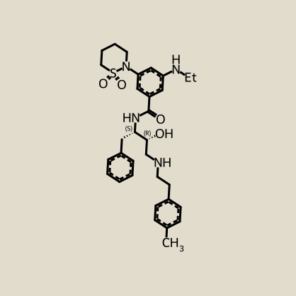 CCNc1cc(C(=O)N[C@@H](Cc2ccccc2)[C@H](O)CNCCc2ccc(C)cc2)cc(N2CCCCS2(=O)=O)c1